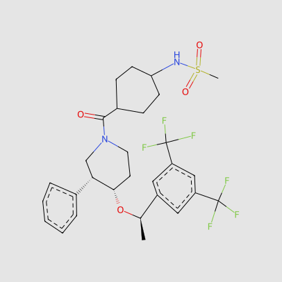 C[C@@H](O[C@H]1CCN(C(=O)C2CCC(NS(C)(=O)=O)CC2)C[C@H]1c1ccccc1)c1cc(C(F)(F)F)cc(C(F)(F)F)c1